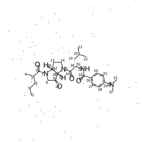 CCCC(C)C(=O)N1CC(=O)[C@@H]2[C@H]1CCN2C(=O)[C@H](CC(C)C)NC(=O)c1ccc(N(C)C)cc1